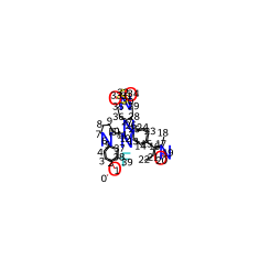 COc1ccc(N2CCC[C@H]2c2nc3cc(-c4c(C)noc4C)ccc3n2C2CCN(S(C)(=O)=O)CC2)cc1F